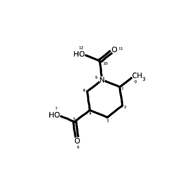 CC1CCC(C(=O)O)CN1C(=O)O